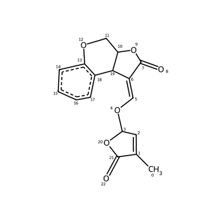 CC1=CC(O/C=C2/C(=O)OC3COc4ccccc4C23)OC1=O